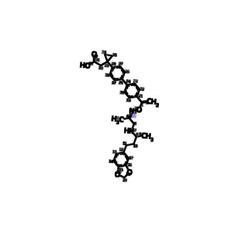 C=C(O/N=C(/C)CNC(C)CCc1ccc2c(c1)OCO2)c1ccc(-c2ccc(C3(CC(=O)O)CC3)cc2)cc1